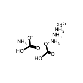 N.N.N.N.O=C([O-])O.O=C([O-])O.[Pd+2]